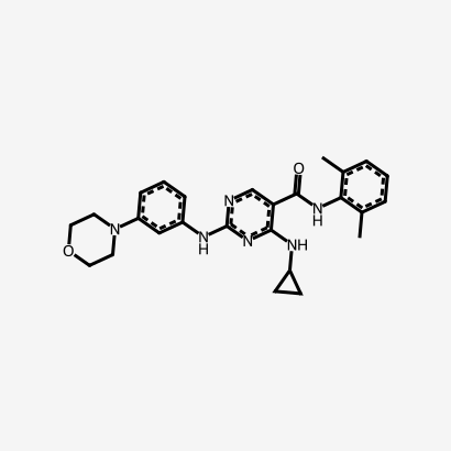 Cc1cccc(C)c1NC(=O)c1cnc(Nc2cccc(N3CCOCC3)c2)nc1NC1CC1